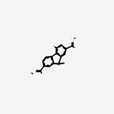 CC/C(=N\OC(C)=O)c1ccc2c(c1)C(CC)(CC)c1cc(/C(CC)=N/OC(C)=O)cc([N+](=O)[O-])c1-2